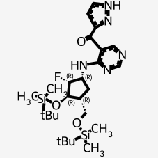 CC(C)(C)[Si](C)(C)OC[C@H]1C[C@@H](Nc2ncncc2C(=O)c2cc[nH]n2)[C@@H](F)[C@@H]1O[Si](C)(C)C(C)(C)C